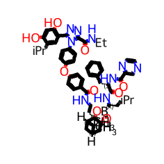 CCNC(=O)c1nnc(-c2cc(C(C)C)c(O)cc2O)n1-c1ccc(Oc2ccc(C(=O)NCC[C@]34OB([C@H](CC(C)C)NC(=O)[C@H](Cc5ccccc5)NC(=O)c5cnccn5)O[C@H]3C[C@@H]3C[C@H]4C3(C)C)cc2)cc1